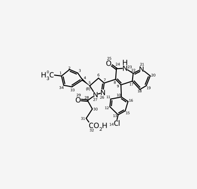 Cc1ccc([C@H]2CC(c3c(-c4ccc(Cl)cc4)c4cccnc4[nH]c3=O)=NN2C(=O)CCC(=O)O)cc1